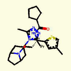 Cc1csc([C@H](CCN2C3CCC2CC(n2c(C)nnc2C(C)C)C3)NC(=O)C2CCCC2)c1